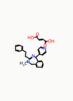 CN1Cc2ccccc2C(c2ccncc2)N=C1CCc1ccccc1.O=C(O)C=CC(=O)O